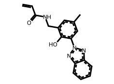 C=CC(=O)NCc1cc(C)cc(-n2nc3ccccc3n2)c1O